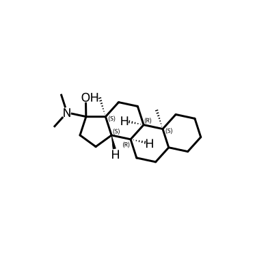 CN(C)C1(O)CC[C@H]2[C@@H]3CCC4CCCC[C@]4(C)[C@@H]3CC[C@@]21C